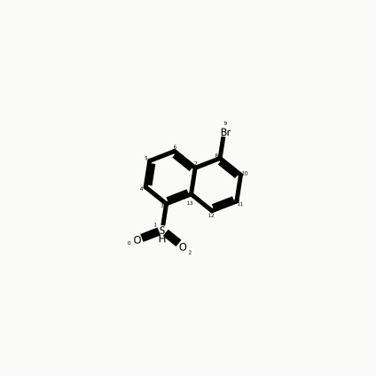 O=[SH](=O)c1cccc2c(Br)cccc12